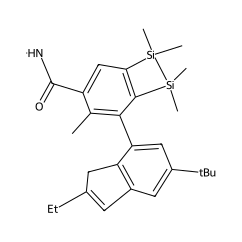 CCC1=Cc2cc(C(C)(C)C)cc(-c3c(C)c(C([NH])=O)cc4c3[Si](C)(C)[Si]4(C)C)c2C1